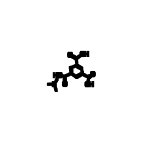 CN(C)C.O=C(O)c1cc(C(=O)O)cc(C(=O)O)c1